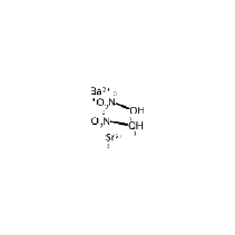 O=[N+]([O-])O.O=[N+]([O-])O.[Ba+2].[Sr+2]